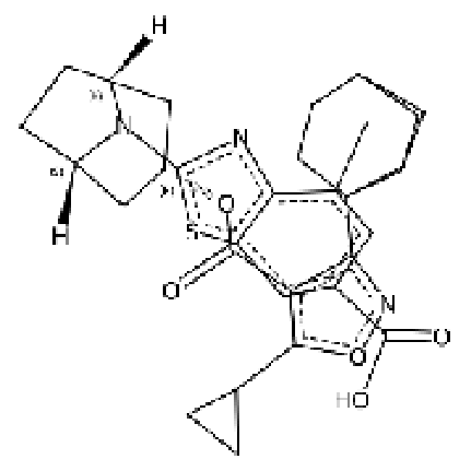 Cc1cc(C(=O)O)cc2sc(N3[C@@H]4CC[C@H]3C[C@@H](OC(=O)c3c(C56CCC(CC5)CC6)noc3C3CC3)C4)nc12